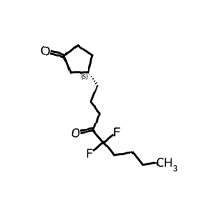 CCCCC(F)(F)C(=O)CCC[C@H]1CCC(=O)C1